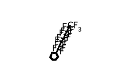 FC(F)(F)C(F)(F)C(F)(F)C(F)(F)C(F)(F)C(F)(F)C(F)(F)C(F)(F)c1ccccc1